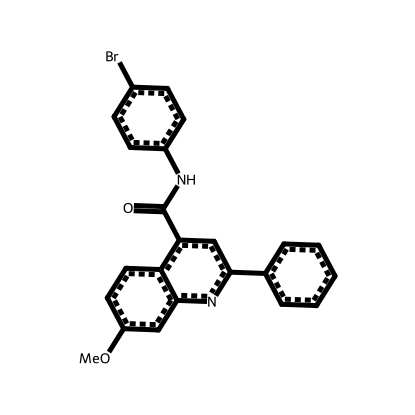 COc1ccc2c(C(=O)Nc3ccc(Br)cc3)cc(-c3ccccc3)nc2c1